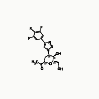 CC(=O)[C@H]1C[C@@H](n2cc(-c3cc(F)c(F)c(F)c3)nn2)[C@@H](O)[C@@H](CO)O1